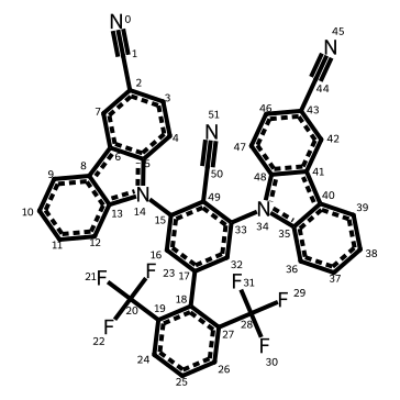 N#Cc1ccc2c(c1)c1ccccc1n2-c1cc(-c2c(C(F)(F)F)cccc2C(F)(F)F)cc(-n2c3ccccc3c3cc(C#N)ccc32)c1C#N